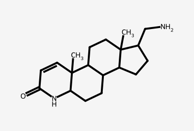 CC12C=CC(=O)NC1CCC1C2CCC2(C)C(CN)CCC12